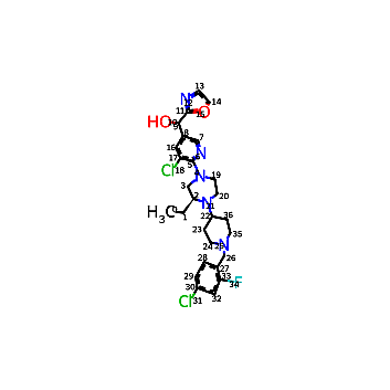 CC[C@H]1CN(c2ncc(C(O)c3ncco3)cc2Cl)CCN1C1CCN(Cc2ccc(Cl)cc2F)CC1